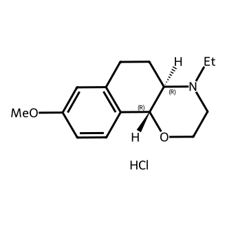 CCN1CCO[C@@H]2c3ccc(OC)cc3CC[C@H]21.Cl